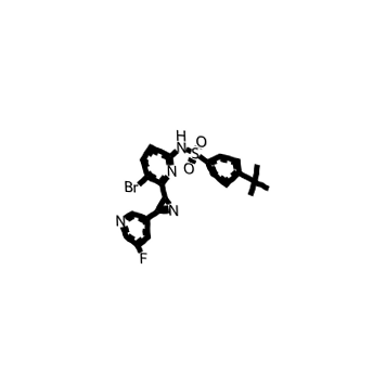 CC(C)(C)c1ccc(S(=O)(=O)Nc2ccc(Br)c(C3N=C3c3cncc(F)c3)n2)cc1